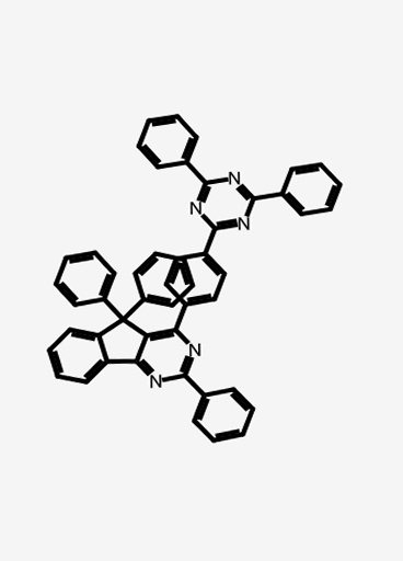 c1ccc(-c2nc(-c3ccccc3)nc(-c3ccc(-c4nc(-c5ccccc5)nc5c4C(c4ccccc4)(c4ccccc4)c4ccccc4-5)cc3)n2)cc1